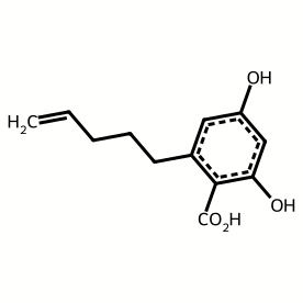 C=CCCCc1cc(O)cc(O)c1C(=O)O